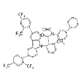 Cc1cccc(-n2c3ccc(-c4ccc(C(F)(F)F)cc4C(F)(F)F)cc3c3cc(-c4ccc(C(F)(F)F)cc4C(F)(F)F)ccc32)c1C(=O)N(C=O)c1cccc(-c2ccccc2)c1